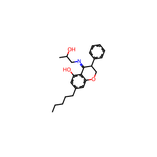 CCCCCc1cc(O)c2c(c1)OCC(c1ccccc1)C2=NCC(C)O